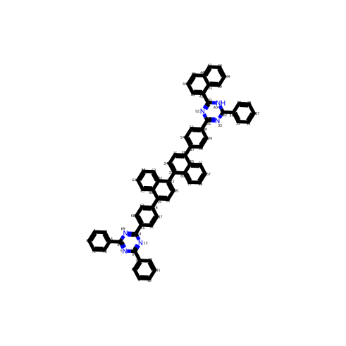 c1ccc(-c2nc(-c3ccccc3)nc(-c3ccc(-c4ccc(-c5ccc(-c6ccc(C7=NC(c8ccccc8)NC(c8cccc9ccccc89)=N7)cc6)c6ccccc56)c5ccccc45)cc3)n2)cc1